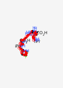 CCCNC(=O)Nc1cccc(S(=O)(=O)Nc2cccc([C@H](CC(=O)O)NC(=O)Nc3ccc(NC(=O)NCCOCCOCCOCCC(=O)N[C@@H](CC(=O)O)C(=O)N4CCC[C@H]4C(=O)N[C@H](C(=O)N=[S@](C)(=O)Cc4cc5nc(c4)OCCCOc4cc(F)ccc4-c4cc(ncc4F)N5)C(C)C)cc3)c2)c1